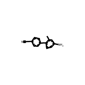 Cc1cc(N)ccc1-c1ccc(C#N)cc1